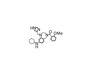 COc1ccccc1C(=O)N1CCN(Cc2c[nH]cn2)c2cc(NC3CCCCC3)ccc2C1